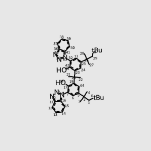 CC(C)(C)CC(C)(C)c1cc(-n2nnc3ccccc32)c(O)c(C(C)(C)c2cc(C(C)(C)CC(C)(C)C)cc(-n3nnc4ccccc43)c2O)c1